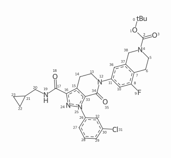 CC(C)(C)OC(=O)N1CCc2c(F)cc(N3CCc4c(C(=O)NCC5CC5)nn(-c5cccc(Cl)c5)c4C3=O)cc2C1